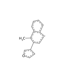 Cc1c(-c2ccoc2)c[c]c2ccccc12